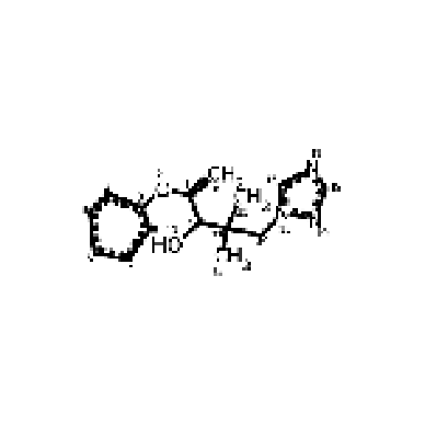 C=C(Oc1ccccc1)C(O)C(C)(C)Cn1cncn1